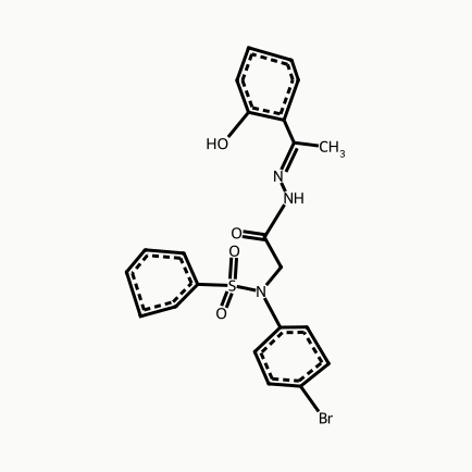 C/C(=N\NC(=O)CN(c1ccc(Br)cc1)S(=O)(=O)c1ccccc1)c1ccccc1O